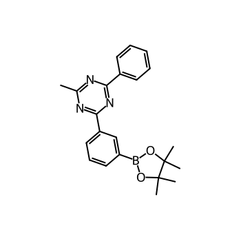 Cc1nc(-c2ccccc2)nc(-c2cccc(B3OC(C)(C)C(C)(C)O3)c2)n1